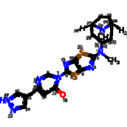 CN(c1nc2sc(-n3cnc(-c4cn[nH]c4)cc3=O)nc2s1)[C@@H]1C[C@H]2CC[C@@H](C1)N2C